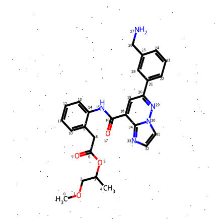 COCC(C)OC(=O)Cc1ccccc1NC(=O)c1cc(-c2cccc(CN)c2)nn2ccnc12